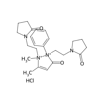 CC1=CC(=O)[N+](CCN2CCCC2=O)(c2ccccc2)[N+]1(C)CCN1CCCC1=O.Cl